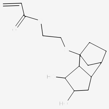 C=CC(=O)OCCOC12CCC(C1)C1CC(O)C(O)C12